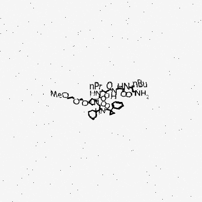 CCCCC(NC(=O)CNC(=O)C(=O)C(CCC)NC(=O)[C@@H]1C[C@@H](OCOCCOC)CN1C(=O)C(NC(=O)C1(c2ccccc2)CC1)C1CCCCC1)C(N)=O